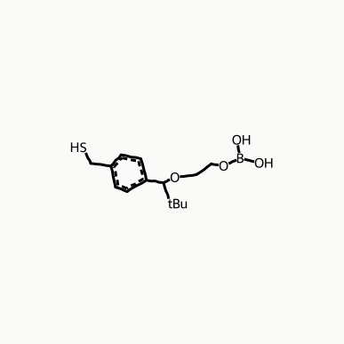 CC(C)(C)C(OCCOB(O)O)c1ccc(CS)cc1